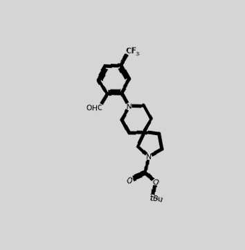 CC(C)(C)OC(=O)N1CCC2(CCN(c3cc(C(F)(F)F)ccc3C=O)CC2)C1